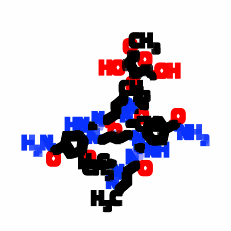 CCn1nc(C)cc1C(=O)/N=c1/[nH]c2cc(C(N)=O)cc(OC)c2n1C/C=C/Cn1/c(=N/C(=O)c2cc(C)nn2CC)[nH]c2cc(C(N)=O)cc(OCCCO[C@H]3[C@@H](O)[C@H](OC)O[C@@H]3CO)c21